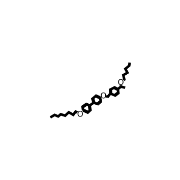 CCCCCCCCOc1ccc(-c2ccc(OCc3ccc(C(C)OCCCCCC)cc3)cc2)cc1